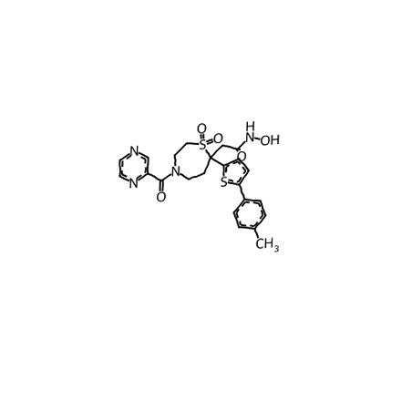 Cc1ccc(-c2ccc(C3(CC(=O)NO)CCN(C(=O)c4cnccn4)CCS3(=O)=O)s2)cc1